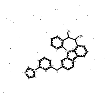 CCCCC1c2cccnc2-n2c3cc(Oc4cccc(-n5ccnc5)c4)ccc3c3cccc(c32)C1CCCC